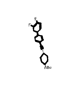 CCCC[C@H]1CC[C@H](C#Cc2ccc(-c3ccc(F)c(F)c3)cc2)CC1